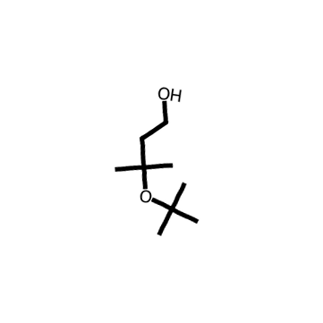 CC(C)(C)OC(C)(C)CCO